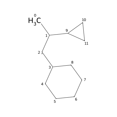 CC([CH]C1CCCCC1)C1CC1